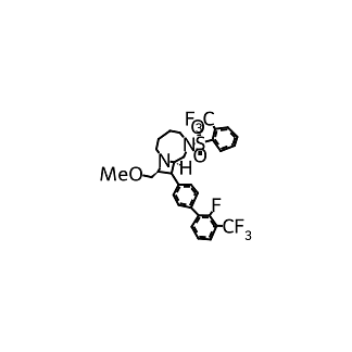 COC[C@@H]1C(c2ccc(-c3cccc(C(F)(F)F)c3F)cc2)[C@@H]2CN(S(=O)(=O)c3ccccc3C(F)(F)F)CCCCN12